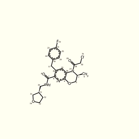 C[C@H]1COc2nc(C(=O)NC[C@H]3CCOC3)c(Cc3ccc(F)cc3)cc2N1C(=O)CCl